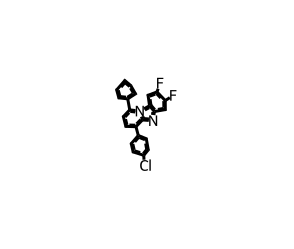 Fc1cc2nc3c(-c4ccc(Cl)cc4)ccc(-c4ccccc4)n3c2cc1F